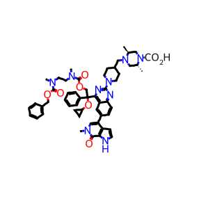 C[C@@H]1CN(CC2CCN(c3nc(C(COC(=O)N(C)CCN(C)C(=O)OCc4ccccc4)(OC4CC4)c4ccccc4)c4cc(-c5cn(C)c(=O)c6[nH]ccc56)ccc4n3)CC2)[C@@H](C)CN1C(=O)O